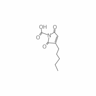 CCCCCC1=CC(=O)N(C(=O)O)C1=O